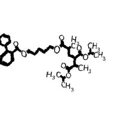 CC(C)OC(=O)C(C)C(CC(C)C(=O)OCCCCCOC(=O)c1ccccc1-c1ccccc1)C(=O)OC(C)C